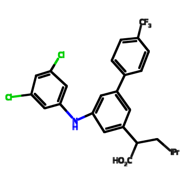 CC(C)CC(C(=O)O)c1cc(Nc2cc(Cl)cc(Cl)c2)cc(-c2ccc(C(F)(F)F)cc2)c1